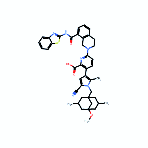 COC12CC(C)CC(Cn3c(C#N)cc(-c4ccc(N5CCc6cccc(C(=O)Nc7nc8ccccc8s7)c6C5)nc4C(=O)O)c3C)(CC(C)C1)C2